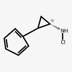 ClN[C@H]1CC1c1ccccc1